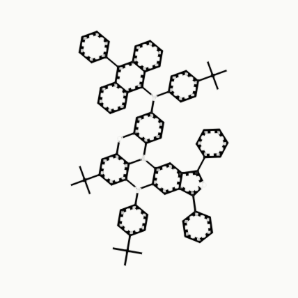 CC(C)(C)c1ccc(N2c3cc4c(-c5ccccc5)oc(-c5ccccc5)c4cc3B3c4ccc(N(c5ccc(C(C)(C)C)cc5)c5c6ccccc6c(-c6ccccc6)c6ccccc56)cc4Oc4cc(C(C)(C)C)cc2c43)cc1